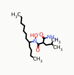 CCCCCCCC(CCCC)N(O)C(=O)C(CC(C)C)C(N)=O